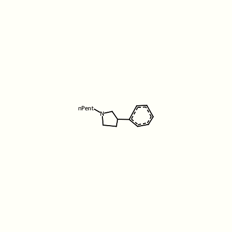 CCCCCN1CCC(c2ccccc2)C1